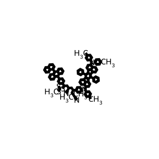 CSC(=S)SC(CC(C#N)CC(CC(C)(C)C#N)c1ccc(N(c2ccc(C)cc2)c2ccc3c4c(-c5ccccc5)c5c6cccc7c(N(c8ccc(C)cc8)c8ccc(C)cc8)ccc(c5c(-c5ccccc5)c4c4cccc2c43)c76)cc1)c1ccc(-c2c3ccccc3c(-c3cccc4ccccc34)c3ccccc23)cc1